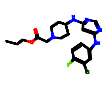 CCCOC(=O)CN1CCC(Nc2cc(Nc3ccc(F)c(Cl)c3)ncn2)CC1